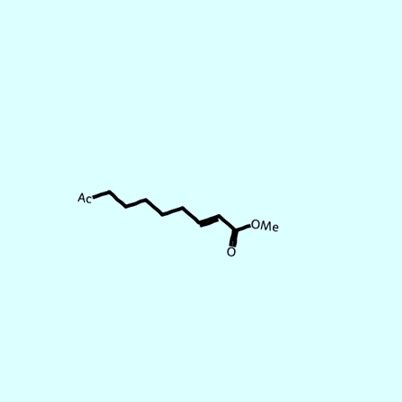 COC(=O)C=CCCCCCC(C)=O